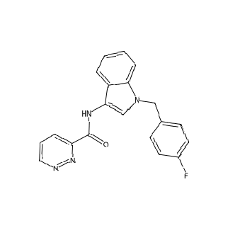 O=C(Nc1cn(Cc2ccc(F)cc2)c2ccccc12)c1cccnn1